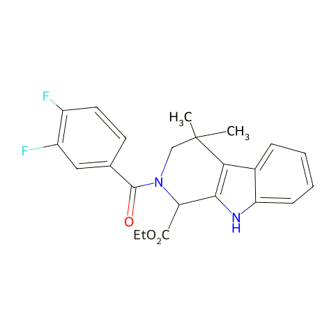 CCOC(=O)C1c2[nH]c3ccccc3c2C(C)(C)CN1C(=O)c1ccc(F)c(F)c1